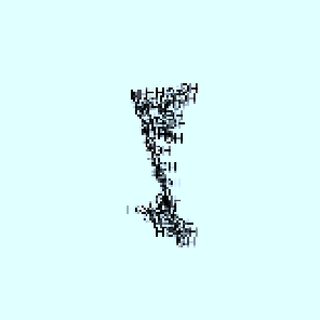 NCC(COCC(O)COCC(O)COCC(O)COCC(O)COCC(O)COC(=O)NCCN(C[C@H](O)[C@@H](O)[C@H](O)[C@H](O)CO)C[C@H](O)[C@@H](O)[C@H](O)[C@H](O)CO)OC(=O)NCCN(C[C@H](O)[C@@H](O)[C@H](O)[C@H](O)CO)C[C@H](O)[C@@H](O)[C@H](O)[C@H](O)CO